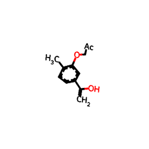 C=C(O)c1ccc(C)c(OCC(C)=O)c1